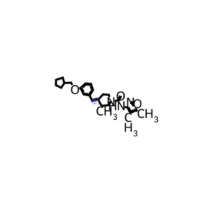 Cc1onc(NC(=O)N2CC/C(=C\c3cccc(OCC4CCCC4)c3)C(C)C2)c1C